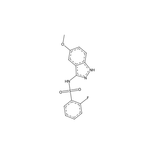 COc1ccc2[nH]nc(NS(=O)(=O)c3ccccc3F)c2c1